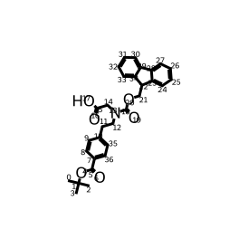 CC(C)(C)OC(=O)c1ccc(CCN(CC(=O)O)C(=O)OCC2c3ccccc3-c3ccccc32)cc1